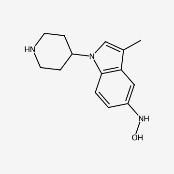 Cc1cn(C2CCNCC2)c2ccc(NO)cc12